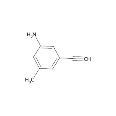 C#Cc1cc(C)cc(N)c1